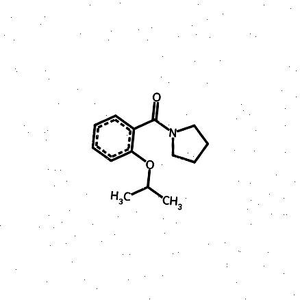 CC(C)Oc1ccccc1C(=O)N1CCCC1